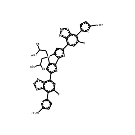 CCCCCCc1ccc(-c2c(F)cc(-c3cc4c(s3)-c3sc(-c5cc(F)c(-c6ccc(CCCCCC)s6)c6snnc56)cc3[Si]4(CC(CC)CCCC)CC(CC)CCCC)c3nnsc23)s1